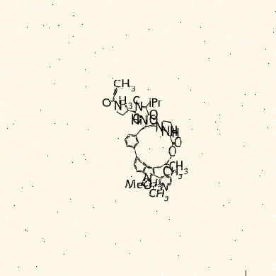 CC#CC(=O)N1CC[C@H](C(=O)N(C)C(C(=O)N[C@H]2Cc3cccc(c3)-c3ccc4c(c3)c(c(-c3cccnc3[C@H](C)OC)n4C)CC(C)(C)COC(=O)[C@@H]3CCCN(N3)C2=O)C(C)C)C1